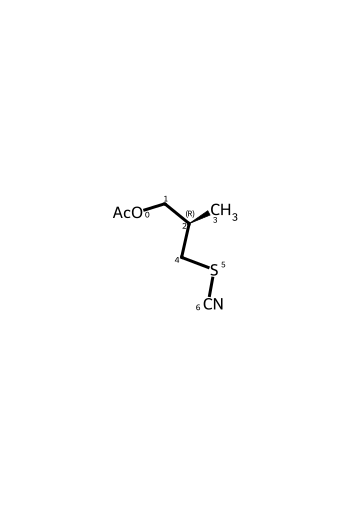 CC(=O)OC[C@@H](C)CSC#N